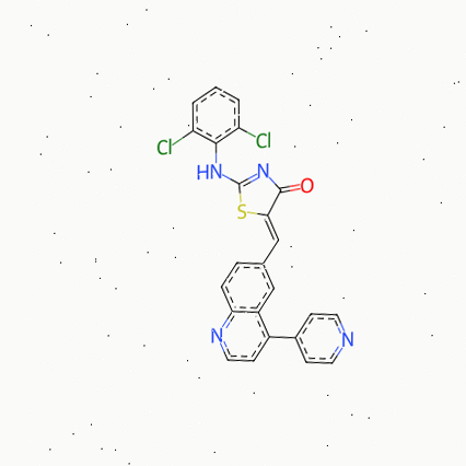 O=C1N=C(Nc2c(Cl)cccc2Cl)S/C1=C\c1ccc2nccc(-c3ccncc3)c2c1